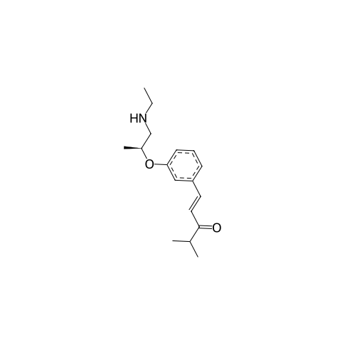 CCNC[C@H](C)Oc1cccc(/C=C/C(=O)C(C)C)c1